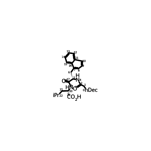 CCCCCCCCCCCC(=O)N[C@@H](Cc1cccc2ccccc12)C(=O)N[C@@H](CC(C)C)C(=O)O